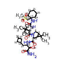 CC1(C)C2CN(C(=O)[C@@H](NC(=O)NC3(CS(C)(=O)=O)CCCCC3)C(C)(C)C)[C@H](C(=O)NC(CC3CCC3)C(=O)C(N)=O)C21